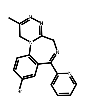 CC1=NN=C2CN=C(c3ccccn3)c3cc(Br)ccc3N2C1